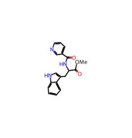 COC(=O)C(Cc1c[nH]c2ccccc12)NC(=O)c1cccnc1